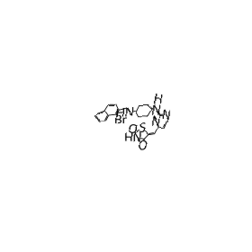 O=C1NC(=O)C(=Cc2ccnc(N[C@H]3CC[C@H](NCc4ccc5ccccc5c4Br)CC3)n2)S1